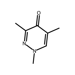 Cc1cn(C)nc(C)c1=O